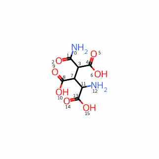 NC(=O)C(C(=O)O)C(C(=O)O)C(N)C(=O)O